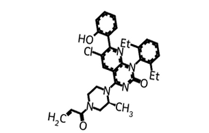 C=CC(=O)N1CCN(c2nc(=O)n(-c3c(CC)cccc3CC)c3nc(-c4ccccc4O)c(Cl)cc23)[C@@H](C)C1